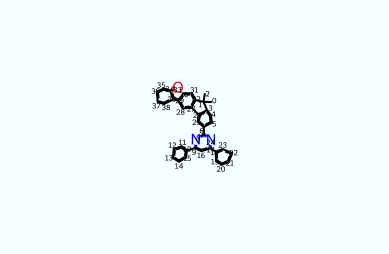 CC1(C)c2ccc(-c3nc(-c4ccccc4)cc(-c4ccccc4)n3)cc2-c2cc3c(cc21)oc1ccccc13